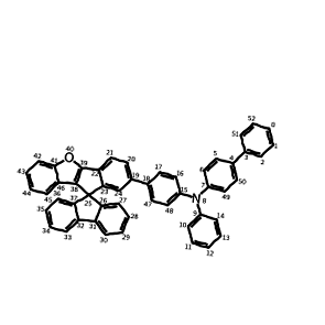 c1ccc(-c2ccc(N(c3ccccc3)c3ccc(-c4ccc5c(c4)C4(c6ccccc6-c6ccccc64)c4c-5oc5ccccc45)cc3)cc2)cc1